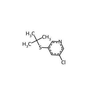 CC(C)(C)Sc1cncc(Cl)c1